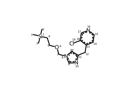 C[Si](C)(C)CCOCn1cnc(Cc2ccncc2Cl)c1